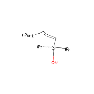 CCCCC/C=C\[Si](O)(C(C)C)C(C)C